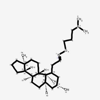 CN(C)CCCO/N=C/CC1C[C@H](O)C[C@H]2CC[C@H]3[C@@H]4CCC[C@@]4(C)CC[C@@H]3[C@@]12C